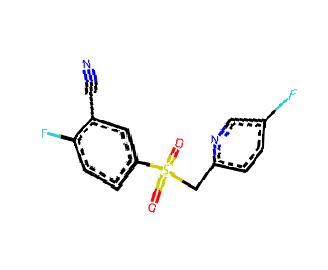 N#Cc1cc(S(=O)(=O)Cc2ccc(F)cn2)ccc1F